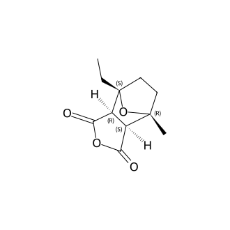 CC[C@@]12CC[C@@](C)(O1)[C@H]1C(=O)OC(=O)[C@H]12